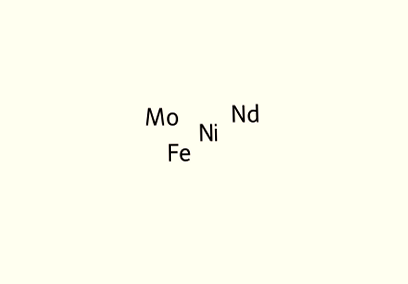 [Fe].[Mo].[Nd].[Ni]